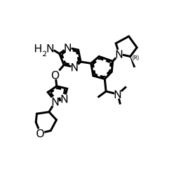 CC(c1cc(-c2cnc(N)c(Oc3cnn(C4CCOCC4)c3)n2)cc(N2CCC[C@H]2C)c1)N(C)C